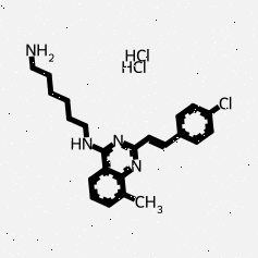 Cc1cccc2c(NCCCCCCN)nc(C=Cc3ccc(Cl)cc3)nc12.Cl.Cl